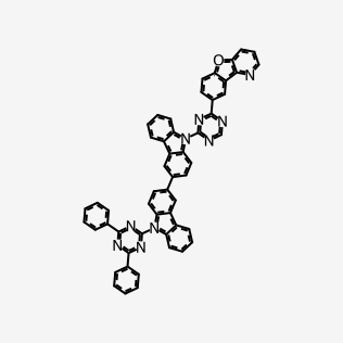 c1ccc(-c2nc(-c3ccccc3)nc(-n3c4ccccc4c4cc(-c5ccc6c(c5)c5ccccc5n6-c5ncnc(-c6ccc7oc8cccnc8c7c6)n5)ccc43)n2)cc1